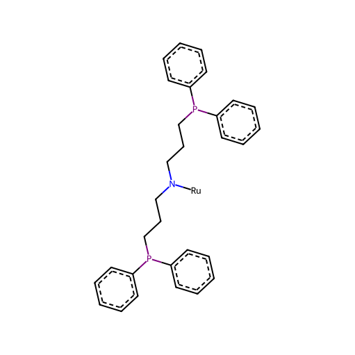 [Ru][N](CCCP(c1ccccc1)c1ccccc1)CCCP(c1ccccc1)c1ccccc1